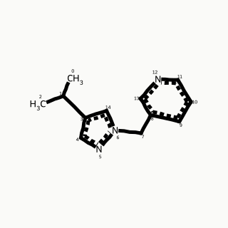 CC(C)c1cnn(Cc2cccnc2)c1